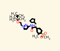 Cc1cc([C@@H](CC2CCCC2)C(=O)Nc2ccn(CCO[Si](C)(C)C(C)(C)C)n2)ccc1S(C)(=O)=O